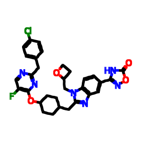 O=c1[nH]c(-c2ccc3c(c2)nc(CC2CCC(Oc4nc(Cc5ccc(Cl)cc5)ncc4F)CC2)n3CC2CCO2)no1